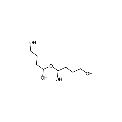 OCCCC(O)OC(O)CCCO